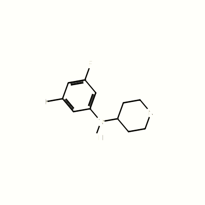 CN(c1cc(F)cc(I)c1)C1CCNCC1